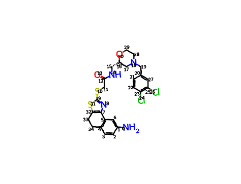 Nc1ccc2c(c1)-c1nc(SCC(=O)NC[C@H]3CN(Cc4ccc(Cl)c(Cl)c4)CCO3)sc1CC2